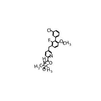 C=S(C)(=O)NC(=O)c1ccc(Cc2ccc(OC)c(-c3cccc(Cl)c3)c2F)cn1